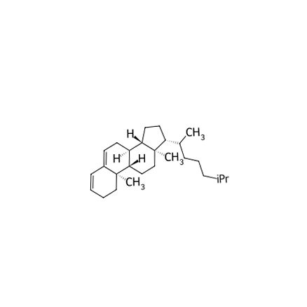 CC(C)CCCC(C)[C@H]1CC[C@H]2[C@@H]3CC=C4C=CCC[C@]4(C)[C@H]3CC[C@]12C